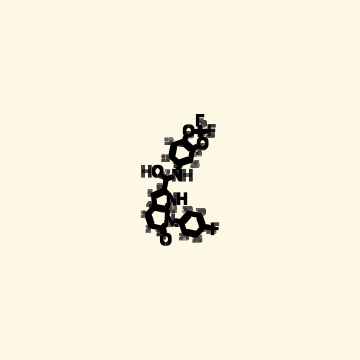 O=c1ccc2cc(C(O)Nc3ccc4c(c3)OC(F)(F)O4)[nH]c2n1-c1ccc(F)cc1